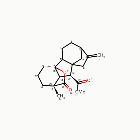 C=C1CC23CC1CCC2[C@@]12CCC[C@@](C)(C(=O)O1)C2[C@@H]3C(=O)OC